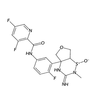 CN1C(=N)NC2(c3cc(NC(=O)c4ncc(F)cc4F)ccc3F)COCC2[S+]1[O-]